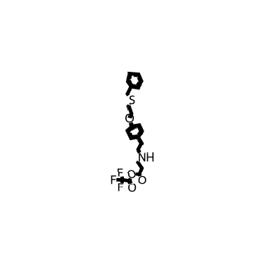 O=C(CCNCCc1ccc(OCCSCc2ccccc2)cc1)OC(=O)C(F)(F)F